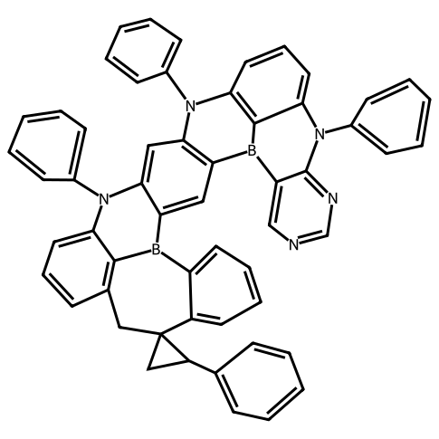 c1ccc(C2CC23Cc2cccc4c2B(c2cc5c(cc2N4c2ccccc2)N(c2ccccc2)c2cccc4c2B5c2cncnc2N4c2ccccc2)c2ccccc23)cc1